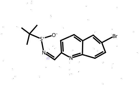 CC(C)(C)[S+]([O-])/N=C\c1ccc2cc(Br)ccc2n1